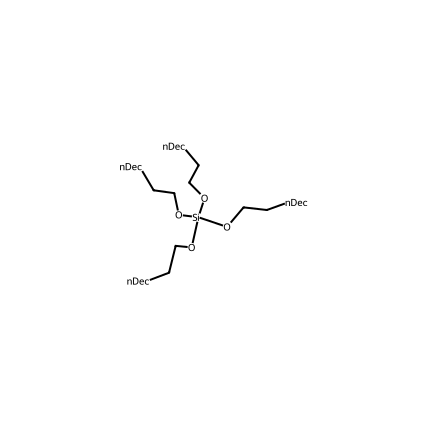 CCCCCCCCCCCCO[Si](OCCCCCCCCCCCC)(OCCCCCCCCCCCC)OCCCCCCCCCCCC